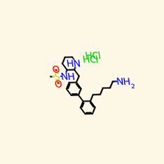 CS(=O)(=O)NC1CCCNC1Cc1cccc(-c2ccccc2CCCCCN)c1.Cl.Cl